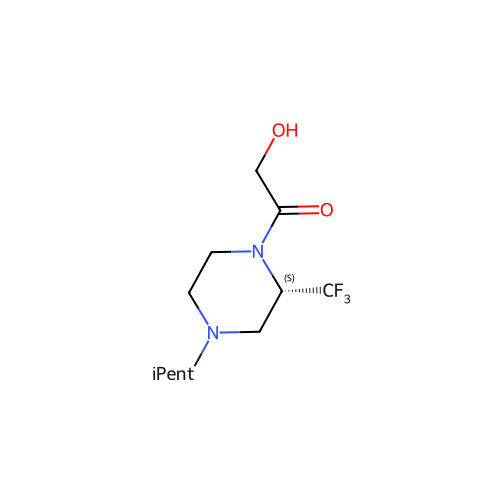 CCCC(C)N1CCN(C(=O)CO)[C@H](C(F)(F)F)C1